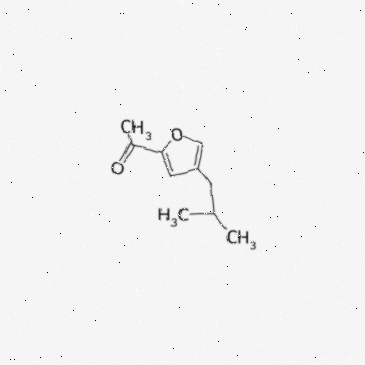 CC(=O)c1cc(CC(C)C)co1